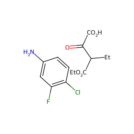 CCOC(=O)C(CC)C(=O)C(=O)O.Nc1ccc(Cl)c(F)c1